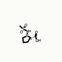 CS(=O)(=O)NN1CCC[C@H]1C(=O)O